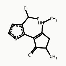 CNC1=C(c2sccc2C(F)F)C(=O)C(C)C1